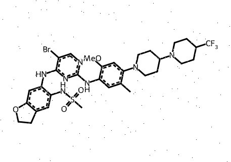 COc1cc(N2CCC(N3CCC(C(F)(F)F)CC3)CC2)c(C)cc1Nc1ncc(Br)c(Nc2cc3c(cc2NS(C)(=O)=O)CCO3)n1